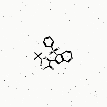 CC(C)(C)[S+]([O-])N=C(C(=O)O)c1cc2cnccc2n1S(=O)(=O)c1ccccc1